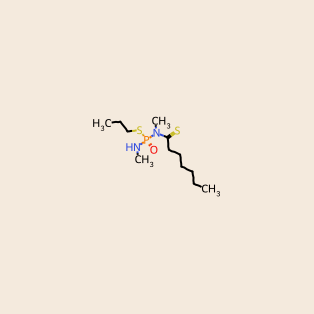 CCCCCCC(=S)N(C)P(=O)(NC)SCCC